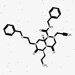 C#CCN1CC(=O)N2[C@@H](CCC)C(=O)N(CCOCc3ccccc3)C[C@@H]2N1C(=O)NCc1ccccc1